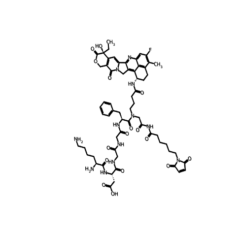 CC[C@@]1(O)C(=O)OCc2c1cc1n(c2=O)Cc2c-1nc1cc(F)c(C)c3c1c2[C@@H](NC(=O)CCCN(CC(=O)NC(=O)CCCCCN1C(=O)C=CC1=O)C(=O)[C@H](Cc1ccccc1)NC(=O)CNC(=O)CNC(=O)[C@H](CC(=O)O)NC(=O)[C@@H](N)CCCCN)CC3